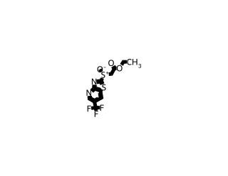 CCOC(=O)C[S+]([O-])c1nc2ncc(C(F)(F)F)cc2s1